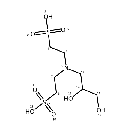 O=S(=O)(O)CCN(CCS(=O)(=O)O)CC(O)CO